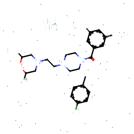 CSc1cc(C(=O)N2CCN(CCN3CC(C)OC(C)C3)C[C@H]2Cc2ccc(Cl)cc2)cc(C(F)(F)F)c1.Cl.Cl